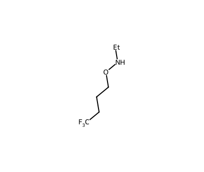 CCNOCCCC(F)(F)F